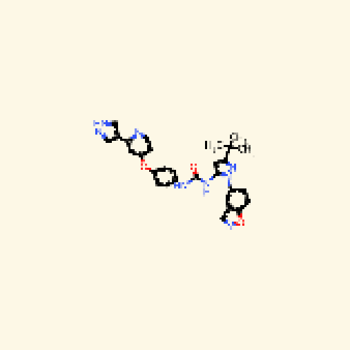 CC(C)(C)c1cc(NC(=O)Nc2ccc(Oc3ccnc(-c4cn[nH]c4)c3)cc2)n(-c2ccc3oncc3c2)n1